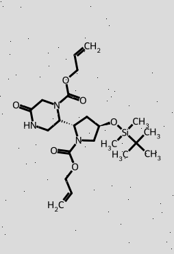 C=CCOC(=O)N1CC(=O)NCC1[C@@H]1C[C@@H](O[Si](C)(C)C(C)(C)C)CN1C(=O)OCC=C